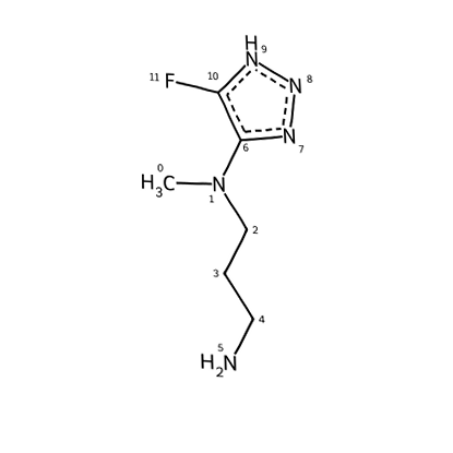 CN(CCCN)c1nn[nH]c1F